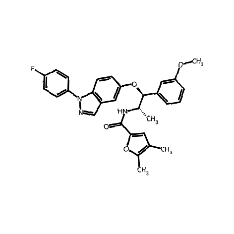 COc1cccc([C@H](Oc2ccc3c(cnn3-c3ccc(F)cc3)c2)[C@H](C)NC(=O)c2cc(C)c(C)o2)c1